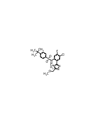 COCc1nnc(-c2cc(Cl)c(F)cc2NS(=O)(=O)c2ccc(C(C)(C)C)cc2)n1C